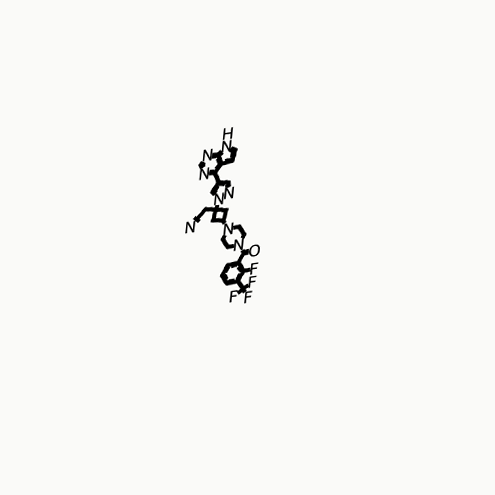 N#CCC1(n2cc(-c3ncnc4[nH]ccc34)cn2)CC(N2CCN(C(=O)c3cccc(C(F)(F)F)c3F)CC2)C1